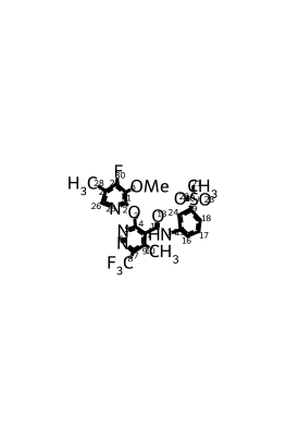 COc1c(Oc2nnc(C(F)(F)F)c(C)c2C(=O)Nc2cccc(S(C)(=O)=O)c2)ncc(C)c1F